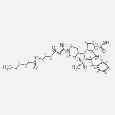 CCCCCC(=O)OCCCC(=O)N=C(N)N1CCC(CN([C@H](Cc2ccccc2)C(=O)N2CCC[C@H]2C(N)=O)S(C)(=O)=O)CC1